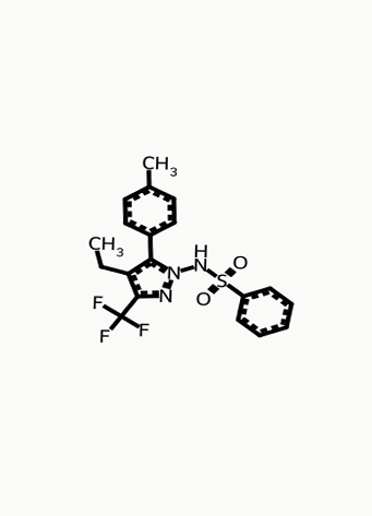 CCc1c(C(F)(F)F)nn(NS(=O)(=O)c2ccccc2)c1-c1ccc(C)cc1